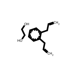 C=CCc1ccccc1CC=C.OCCO